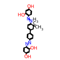 CC1(C)CC(c2ccc(/N=N/c3ccc(O)cc3O)cc2)=CC=C1/N=N/c1ccc(O)cc1O